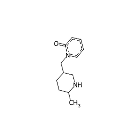 CC1CCC(Cn2ccccc2=O)CN1